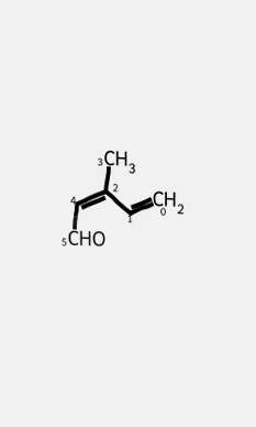 C=CC(C)=CC=O